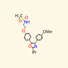 COc1ccc(-c2nc(C(C)C)oc2-c2ccc(OCCNS(C)(=O)=O)cc2)cc1